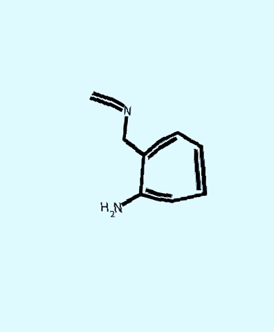 C=NCc1ccccc1N